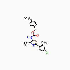 COc1ccc(COC(=O)Nc2sc(-c3ccc(Cl)cc3OC)nc2C)cc1